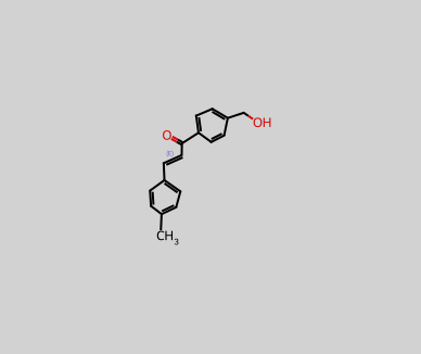 Cc1ccc(/C=C/C(=O)c2ccc(CO)cc2)cc1